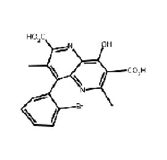 Cc1nc2c(-c3ccccc3Br)c(C)c(C(=O)O)nc2c(O)c1C(=O)O